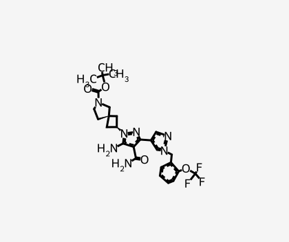 CC(C)(C)OC(=O)N1CC[C@]2(C1)C[C@H](n1nc(-c3cnn(Cc4ccccc4OC(F)(F)F)c3)c(C(N)=O)c1N)C2